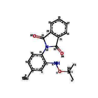 C[SiH](C)ONc1cc(C(C)(C)C)ccc1N1C(=O)c2ccccc2C1=O